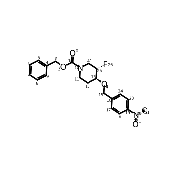 O=C(OCc1ccccc1)N1CC[C@H](OCc2ccc([N+](=O)[O-])cc2)[C@@H](F)C1